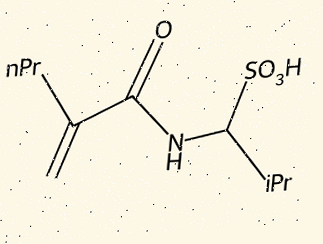 C=C(CCC)C(=O)NC(C(C)C)S(=O)(=O)O